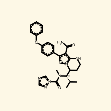 CC(C)[C@@H](C1CCNc2c(C(N)=O)c(-c3ccc(Oc4ccccc4)cc3)nn21)N(C)C(=O)n1cncn1